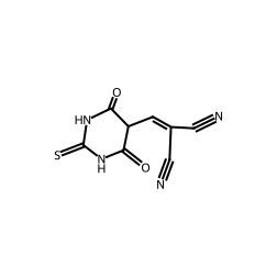 N#CC(C#N)=CC1C(=O)NC(=S)NC1=O